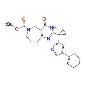 CC(C)(C)OC(=O)N1CCCc2nc(C3(c4cncc(C5=CCCCC5)c4)CC3)[nH]c(=O)c2C1